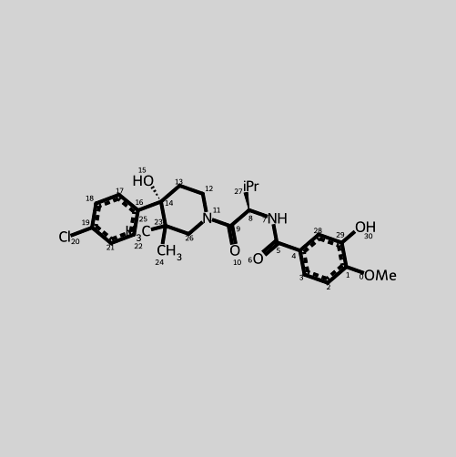 COc1ccc(C(=O)N[C@@H](C(=O)N2CC[C@](O)(c3ccc(Cl)cc3)C(C)(C)C2)C(C)C)cc1O